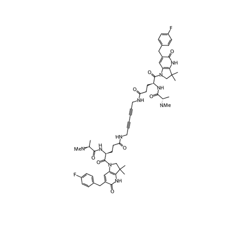 CN[C@@H](C)C(=O)N[C@@H](CCC(=O)NCC#CC#CCNC(=O)CC[C@H](NC(=O)[C@H](C)NC)C(=O)N1CC(C)(C)c2[nH]c(=O)c(Cc3ccc(F)cc3)cc21)C(=O)N1CC(C)(C)c2[nH]c(=O)c(Cc3ccc(F)cc3)cc21